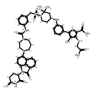 CC1(C)C[C@@H](Nc2cccc(-c3sc(C(=O)O)c(OCC(=O)O)c3Cl)c2)CCN1S(=O)(=O)Cc1cccc(NC(=O)N2CCCN(c3ccc4c5c(cccc35)C(=O)N4C3CCC(=O)NC3=O)CC2)c1